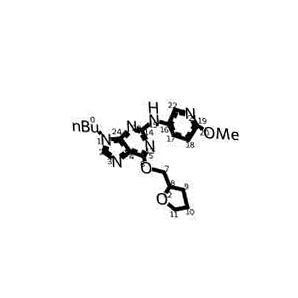 CCCCn1cnc2c(OCC3CCCO3)nc(Nc3ccc(OC)nc3)nc21